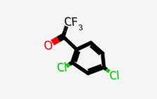 O=C(c1ccc(Cl)cc1Cl)C(F)(F)F